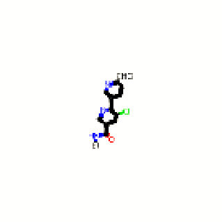 CCNC(=O)c1cnc(-c2ccc(C=O)nc2)c(Cl)c1